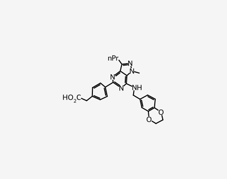 CCCc1nn(C)c2c(NCc3ccc4c(c3)OCCO4)nc(-c3ccc(CC(=O)O)cc3)nc12